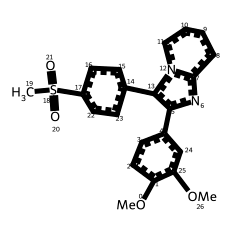 COc1ccc(-c2nc3ccccn3c2-c2ccc(S(C)(=O)=O)cc2)cc1OC